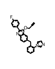 C#CCOn1c(-c2ccc(F)cc2)nc2ccc(Cc3ccccc3-n3ccnc3)cc21